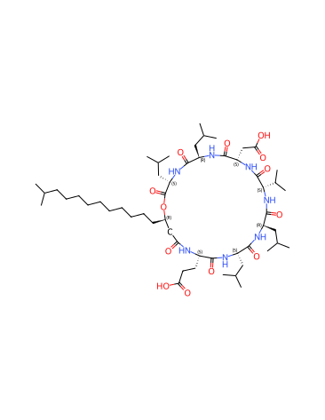 CC(C)CCCCCCCCCC[C@@H]1CC(=O)N[C@@H](CCC(=O)O)C(=O)N[C@@H](CC(C)C)C(=O)N[C@H](CC(C)C)C(=O)N[C@@H](C(C)C)C(=O)N[C@@H](CC(=O)O)C(=O)N[C@H](CC(C)C)C(=O)N[C@@H](CC(C)C)C(=O)O1